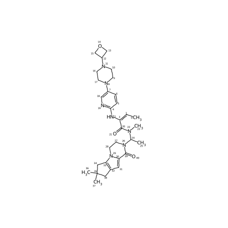 C/C=C(/Nc1ccc(N2CCN(C3COC3)CC2)cn1)C(=O)N(C)C(C)N1CCn2c(cc3c2CC(C)(C)C3)C1=O